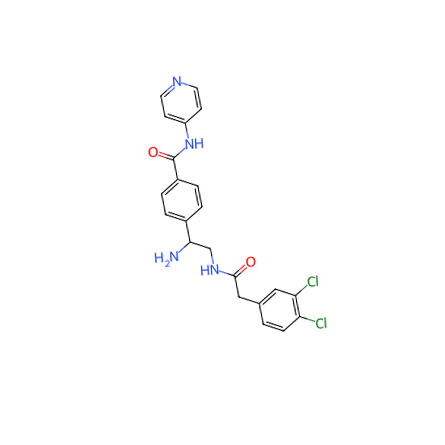 NC(CNC(=O)Cc1ccc(Cl)c(Cl)c1)c1ccc(C(=O)Nc2ccncc2)cc1